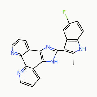 Cc1[nH]c2ccc(F)cc2c1-c1nc2c3cccnc3c3ncccc3c2[nH]1